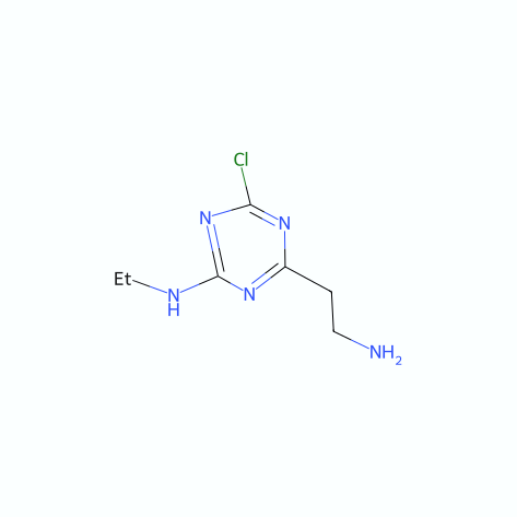 CCNc1nc(Cl)nc(CCN)n1